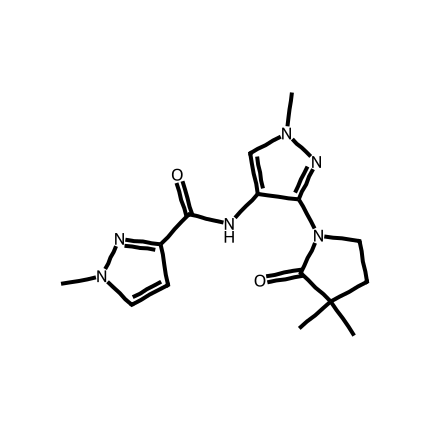 Cn1ccc(C(=O)Nc2cn(C)nc2N2CCC(C)(C)C2=O)n1